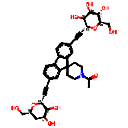 CC(=O)N1CCC2(CC1)c1cc(C#C[C@H]3O[C@H](CO)[C@@H](O)[C@H](O)[C@@H]3O)ccc1-c1ccc(C#C[C@H]3O[C@H](CO)C[C@H](O)[C@@H]3O)cc12